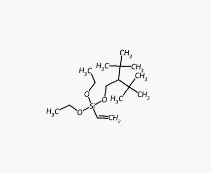 C=C[Si](OCC)(OCC)OCC(C(C)(C)C)C(C)(C)C